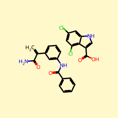 C=C(C(N)=O)c1cccc(NC(=O)c2ccccc2)c1.O=C(O)c1c[nH]c2cc(Cl)cc(Cl)c12